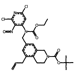 C=CCc1cc(CN(C(=O)OCC)c2cc(Cl)nc(Cl)c2N=O)cc2c1CCN(C(=O)OC(C)(C)C)C2